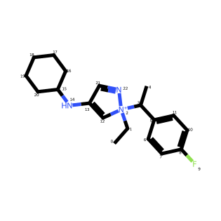 CC[N+]1(C(C)c2ccc(F)cc2)C=C(NC2CCCCC2)C=N1